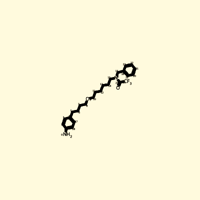 Nc1ccc(CCCCOCCCCCCN(Cc2ccccc2)C(=O)C(F)(F)F)cc1